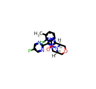 Cc1cccc(C(=O)N2[C@H]3COC[C@@H]2c2nnc(-c4ncc(F)cn4)n2C3)c1Cl